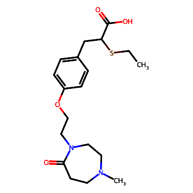 CCSC(Cc1ccc(OCCN2CCN(C)CCC2=O)cc1)C(=O)O